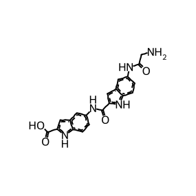 NCC(=O)Nc1ccc2[nH]c(C(=O)Nc3ccc4[nH]c(C(=O)O)cc4c3)cc2c1